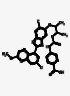 COc1cnc2c(-c3nc4cc(F)c(OC(C)C(C)OC(=O)Nc5ccc(C(=O)O)nc5)cc4s3)cc(Cl)cc2n1